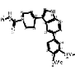 COc1ccc(-c2cnc3[nH]cc(C4=CCN(C(=O)NC(C)C)CC4)c3c2)cc1OC